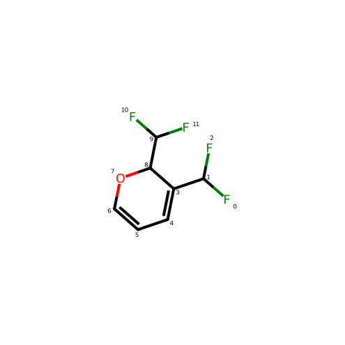 FC(F)C1=CC=COC1C(F)F